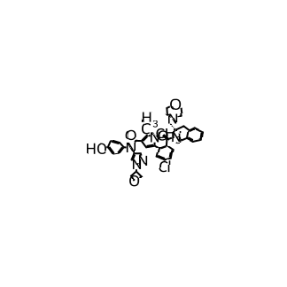 Cc1c(C(=O)N(c2ccc(O)cc2)c2cnn(C3COC3)c2)cc(-c2cc(Cl)ccc2C(=O)N2Cc3ccccc3C[C@H]2CN2CCOCC2)n1C